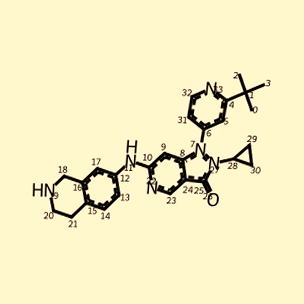 CC(C)(C)c1cc(-n2c3cc(Nc4ccc5c(c4)CNCC5)ncc3c(=O)n2C2CC2)ccn1